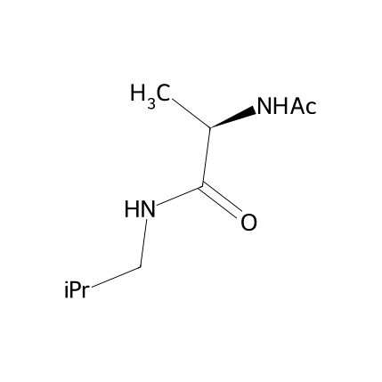 CC(=O)N[C@H](C)C(=O)NCC(C)C